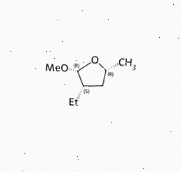 CC[C@H]1C[C@@H](C)O[C@H]1OC